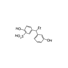 CCC(c1cccc(O)c1)c1ccc(O)c(S(=O)(=O)O)c1